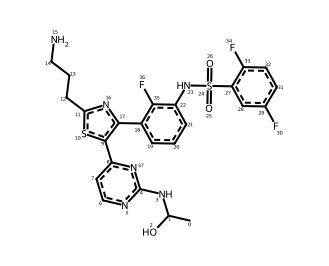 CC(O)Nc1nccc(-c2sc(CCCN)nc2-c2cccc(NS(=O)(=O)c3cc(F)ccc3F)c2F)n1